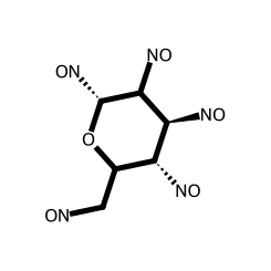 O=NCC1O[C@H](N=O)C(N=O)[C@@H](N=O)[C@@H]1N=O